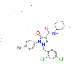 O=C(NC1CCCCC1)c1cn(Cc2ccc(Cl)cc2Cl)n(-c2ccc(Br)cc2)c1=O